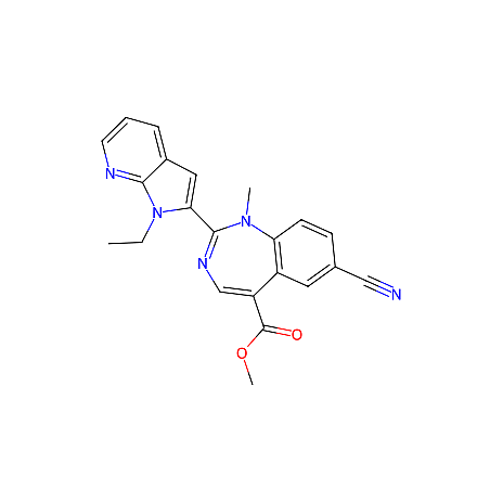 CCn1c(C2=NC=C(C(=O)OC)c3cc(C#N)ccc3N2C)cc2cccnc21